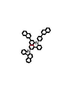 c1cc(-c2ccc3ccccc3c2)cc(N(c2ccc(-c3ccc4ccccc4c3)cc2)c2ccccc2-c2cccc(-n3c4ccccc4c4c5ccccc5ccc43)c2)c1